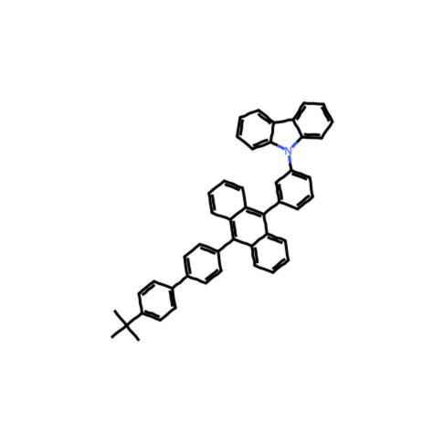 CC(C)(C)c1ccc(-c2ccc(-c3c4ccccc4c(-c4cccc(-n5c6ccccc6c6ccccc65)c4)c4ccccc34)cc2)cc1